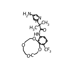 CC(C)(C(=O)Nc1ccc(C(F)(F)F)c2c1OCCOCCOCCO2)n1cc(N)cn1